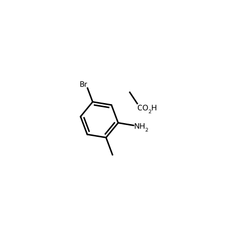 CC(=O)O.Cc1ccc(Br)cc1N